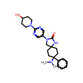 CN(C)C1(c2ccccc2)CCC2(CC1)CN(c1cnc(N3CCC(O)CC3)nc1)C(=O)N2